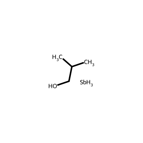 CC(C)CO.[SbH3]